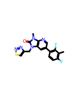 Cc1c(F)ccc(-c2cnc3c(c2)n(Cc2csnn2)c(=O)n3C)c1F